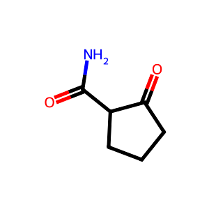 NC(=O)C1CCCC1=O